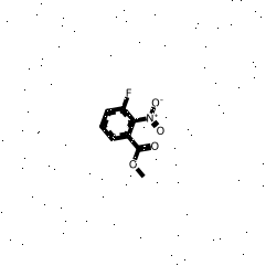 COC(=O)c1cccc(F)c1[N+](=O)[O-]